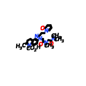 C[C@H]1CCc2c(ccc3c2nc(CCn2ccccc2=O)n3CC(=O)N(C)CC(=O)N(C)C)N1C(=O)O